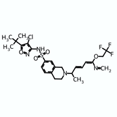 C=N/C(=C\C=C\C(C)N1CCc2ccc(S(=O)(=O)Nc3noc(C(C)(C)C)c3Cl)cc2C1)OCC(F)(F)F